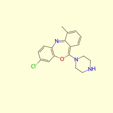 Cc1cccc2c1=Nc1ccc(Cl)cc1OC=2N1CCNCC1